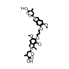 COc1cc2c(cc1OCCCOc1c(OC)cc3c(c1Cl)C(C)N(C(=O)CC(C)C(=O)O)C3)CN(C(=O)CC(C)C(=O)O)C2